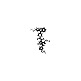 COc1cnc(-n2cc(C)nn2)c2[nH]cc(C(=O)C(=O)N3CCC(=C(c4ccccc4)c4cc(C)n[nH]4)CC3)c12